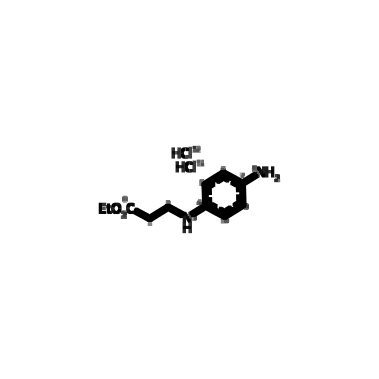 CCOC(=O)CCNc1ccc(N)cc1.Cl.Cl